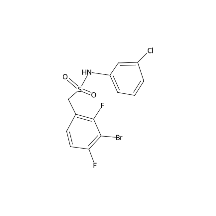 O=S(=O)(Cc1ccc(F)c(Br)c1F)Nc1cccc(Cl)c1